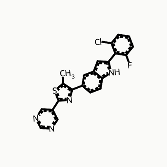 Cc1sc(-c2cncnc2)nc1-c1ccc2[nH]c(-c3c(F)cccc3Cl)cc2c1